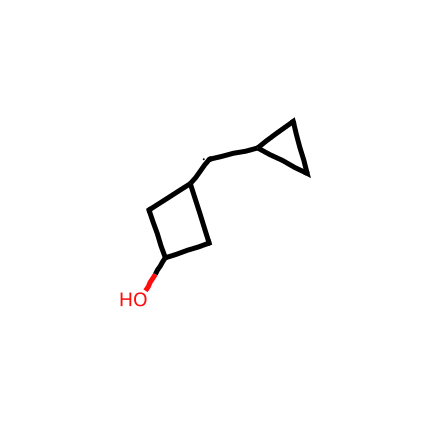 OC1CC([CH]C2CC2)C1